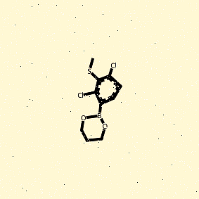 CSc1c(Cl)ccc(B2OCCCO2)c1Cl